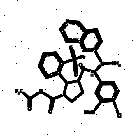 COc1cc([C@@H](C(=O)N2CCC(C(=O)OC(=O)C(F)(F)F)C2c2ccccc2S(=O)(=O)C(C)C)N(N)c2ccc3cnccc3c2)ccc1Cl